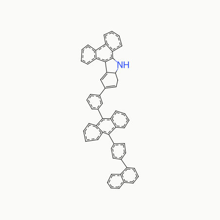 C1=C(c2cccc(-c3c4ccccc4c(-c4ccc(-c5cccc6ccccc56)cc4)c4ccccc34)c2)C=C2c3c(c4ccccc4c4ccccc34)NC2C1